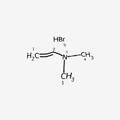 Br.C=CN(C)C